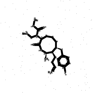 C=CCC[C@@H]1[C@@H](Cc2ccc(F)cc2)CCC[C@H](N(COC)C(=O)OC(C)(C)C)C(=O)O[C@H]1C